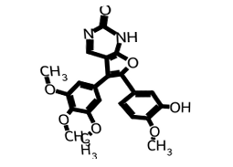 COc1ccc(-c2oc3[nH]c(=O)ncc3c2-c2cc(OC)c(OC)c(OC)c2)cc1O